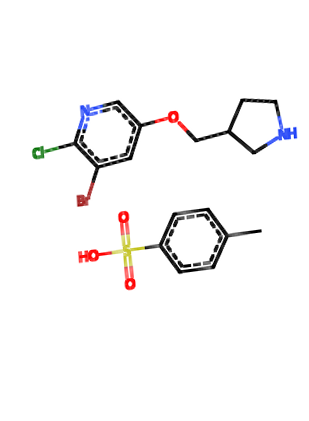 Cc1ccc(S(=O)(=O)O)cc1.Clc1ncc(OCC2CCNC2)cc1Br